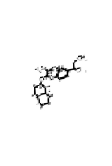 CCC(C)c1ccc(OC(OC2CCC3CCCCC3C2)C(C)C)cc1